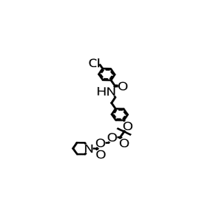 CC(C)(Oc1ccc(CCNC(=O)c2ccc(Cl)cc2)cc1)C(=O)OCOC(=O)N1CCCCC1